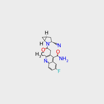 Cc1nc2ccc(F)cc2c(C(N)=O)c1CC(=O)N1[C@H](C#N)C[C@@H]2C[C@@H]21